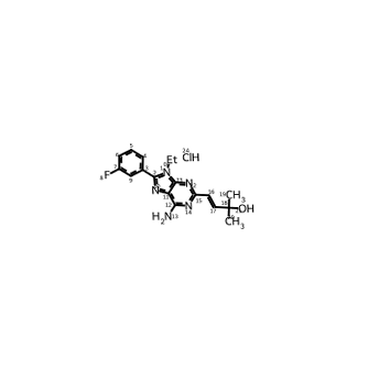 CCn1c(-c2cccc(F)c2)nc2c(N)nc(C=CC(C)(C)O)nc21.Cl